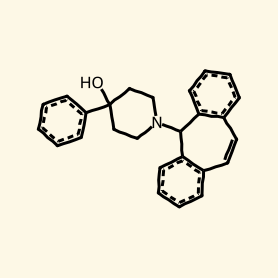 OC1(c2ccccc2)CCN(C2c3ccccc3C=Cc3ccccc32)CC1